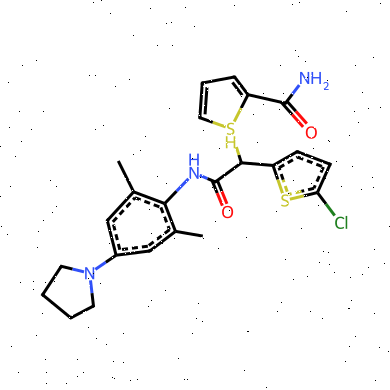 Cc1cc(N2CCCC2)cc(C)c1NC(=O)C(c1ccc(Cl)s1)[SH]1C=CC=C1C(N)=O